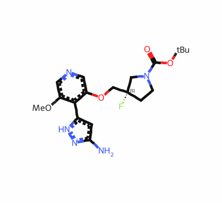 COc1cncc(OC[C@]2(F)CCN(C(=O)OC(C)(C)C)C2)c1-c1cc(N)n[nH]1